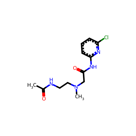 CC(=O)NCCN(C)CC(=O)Nc1cccc(Cl)n1